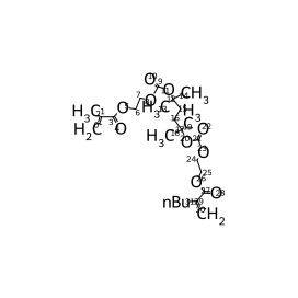 C=C(C)C(=O)OCCOC(=O)OC(C)(C)CCC(C)(C)OC(=O)OCCOC(=O)C(=C)CCCC